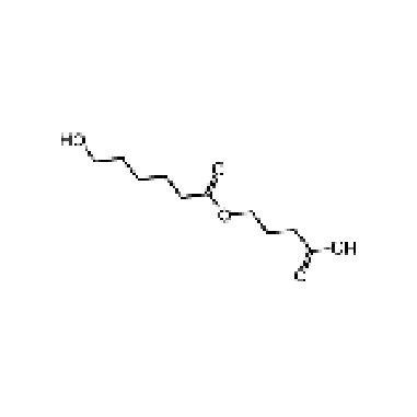 O=C(O)CCCOC(=O)CCCCCO